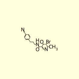 CC1=NC=C(C(=O)NCCCc2ccc(C#N)cc2)C(=O)C1Br